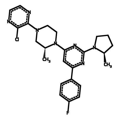 C[C@@H]1CN(c2nccnc2Cl)CCN1c1cc(-c2ccc(F)cc2)nc(N2CCC[C@H]2C)n1